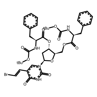 CC(C)(C)OC(=O)N[C@@H](Cc1ccccc1)C(=O)OC[C@H]1O[C@@H](n2cc(/C=C/Br)c(=O)[nH]c2=O)C[C@@H]1OC(=O)[C@H](Cc1ccccc1)NC(=O)OC(C)(C)C